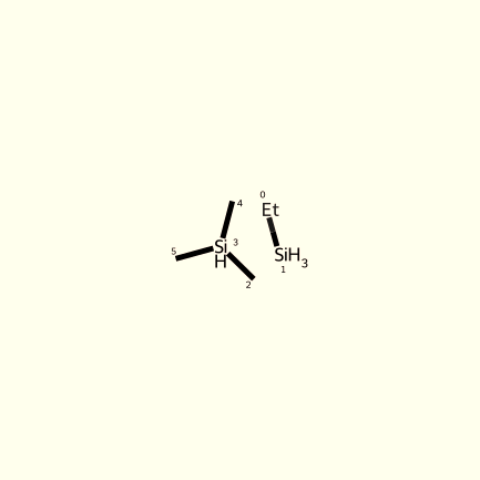 CC[SiH3].C[SiH](C)C